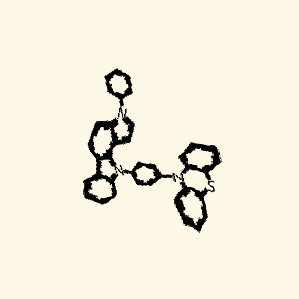 c1ccc(-n2ccc3c2ccc2c4ccccc4n(-c4ccc(N5c6ccccc6Sc6ccccc65)cc4)c23)cc1